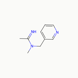 CC(=N)N(C)Cc1cccnc1